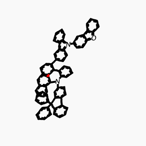 c1ccc(C2(c3ccccc3)c3ccccc3-c3ccc(N(c4ccccc4-c4ccccc4-c4ccc5c(c4)c4ccccc4n5-c4ccc5oc6ccccc6c5c4)c4cccc5ccccc45)cc32)cc1